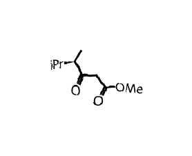 COC(=O)CC(=O)[C@H](C)C(C)C